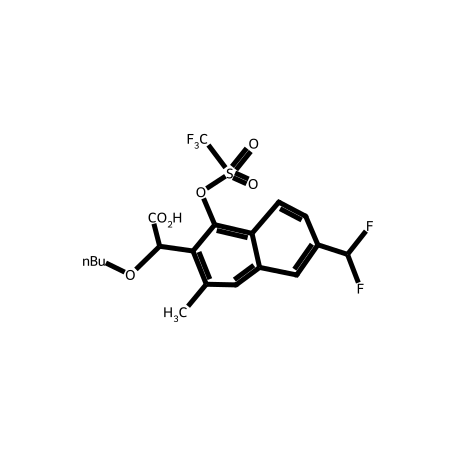 CCCCOC(C(=O)O)c1c(C)cc2cc(C(F)F)ccc2c1OS(=O)(=O)C(F)(F)F